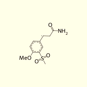 COc1ccc([CH]CC(N)=O)cc1S(C)(=O)=O